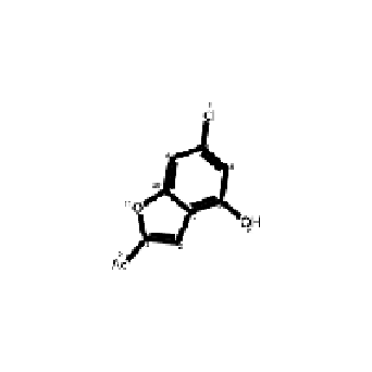 CC(=O)c1cc2c(O)cc(Cl)cc2o1